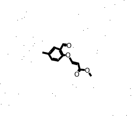 COC(=O)C=COc1ccc(C)cc1C=O